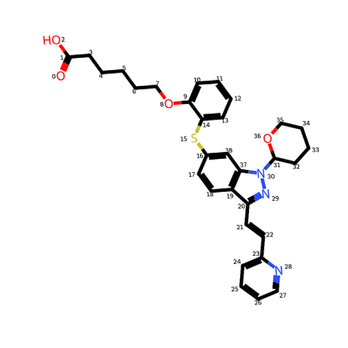 O=C(O)CCCCCOc1ccccc1Sc1ccc2c(/C=C/c3ccccn3)nn(C3CCCCO3)c2c1